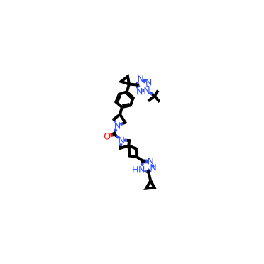 CC(C)(C)n1nnc(C2(c3ccc(C4CN(C(=O)N5CC6(CC(c7nnc(C8CC8)[nH]7)C6)C5)C4)cc3)CC2)n1